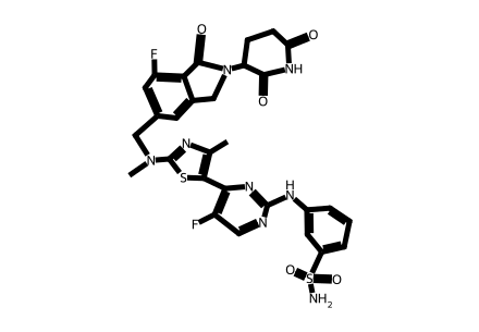 Cc1nc(N(C)Cc2cc(F)c3c(c2)CN(C2CCC(=O)NC2=O)C3=O)sc1-c1nc(Nc2cccc(S(N)(=O)=O)c2)ncc1F